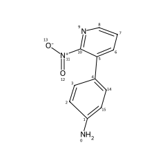 Nc1ccc(-c2cccnc2[N+](=O)[O-])cc1